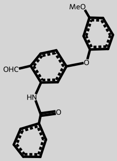 COc1cccc(Oc2ccc(C=O)c(NC(=O)c3ccccc3)c2)c1